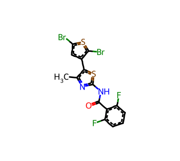 Cc1nc(NC(=O)c2c(F)cccc2F)sc1-c1cc(Br)sc1Br